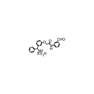 O=Cc1cccc(NC(=O)COc2cccc(C(NC(=O)O)c3ccccc3)c2)c1